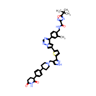 Cc1cc(-c2ncnn3cc(-c4ccc(-c5n[nH]cc5CN5CCC(c6ccc(C7CCC(=O)NC7=O)cc6)CC5)s4)cc23)ccc1CNC(=O)c1noc(C(C)(C)C)n1